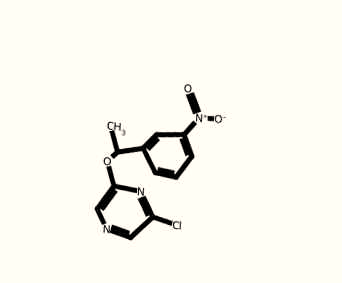 CC(Oc1cncc(Cl)n1)c1cccc([N+](=O)[O-])c1